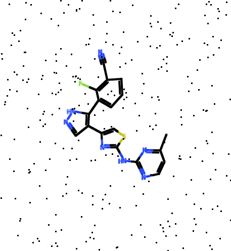 Cc1ccnc(Nc2nc(-c3cn[nH]c3-c3cccc(C#N)c3F)cs2)n1